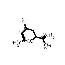 [CH2]C=CC(CC)CC(C)C(=C)C